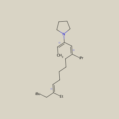 C/C=C(\C=C(/CCCC/C=C(\CC)CC(C)CC)C(C)C)N1CCCC1